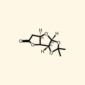 CC1(C)O[C@H]2O[C@@H]3CC(=O)OC3[C@H]2O1